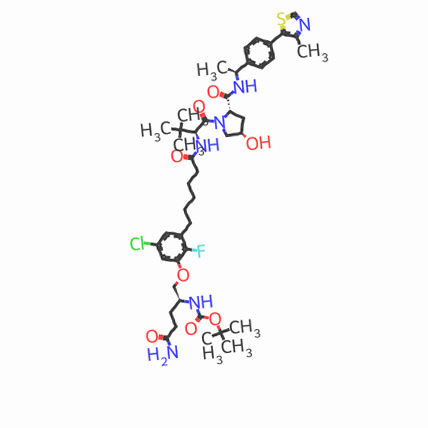 Cc1ncsc1-c1ccc([C@H](C)NC(=O)[C@@H]2C[C@@H](O)CN2C(=O)[C@@H](NC(=O)CCCCCc2cc(Cl)cc(OC[C@H](CCC(N)=O)NC(=O)OC(C)(C)C)c2F)C(C)(C)C)cc1